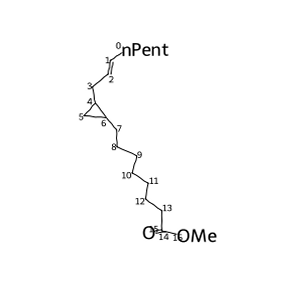 CCCCCC=CCC1CC1CCCCCCCC(=O)OC